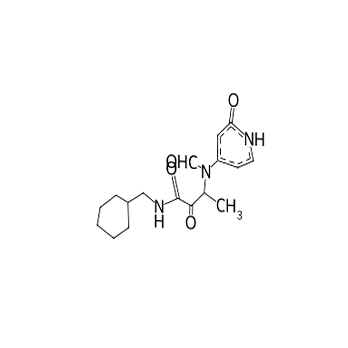 CC(C(=O)C(=O)NCC1CCCCC1)N(C=O)c1cc[nH]c(=O)c1